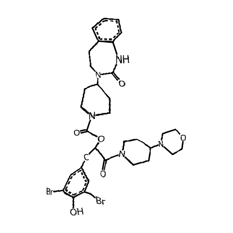 O=C(OC(Cc1cc(Br)c(O)c(Br)c1)C(=O)N1CCC(N2CCOCC2)CC1)N1CCC(N2CCc3ccccc3NC2=O)CC1